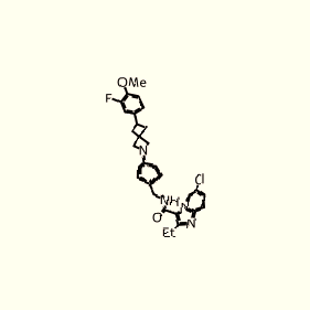 CCc1nc2ccc(Cl)cn2c1C(=O)NCc1ccc(N2CC3(CC(c4ccc(OC)c(F)c4)C3)C2)cc1